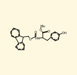 CC(C)(C)OC(=O)C(Cc1ccc(O)cc1)NC(=O)OCC1c2ccccc2-c2ccccc21